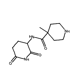 CC1(C(=O)NC2CCC(=O)NC2=O)CCNCC1